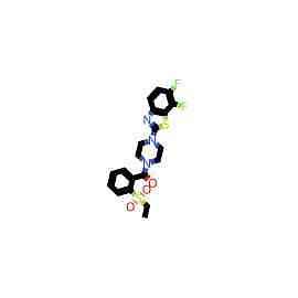 CCS(=O)(=O)c1ccccc1C(=O)N1CCN(c2nc3ccc(F)c(F)c3s2)CC1